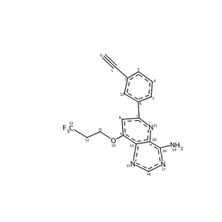 C#Cc1cccc(-c2cc(OCCC(F)(F)F)c3ncnc(N)c3n2)c1